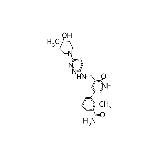 Cc1c(C(N)=O)cccc1-c1c[nH]c(=O)c(CNc2ccc(N3CCC(C)(O)CC3)nn2)c1